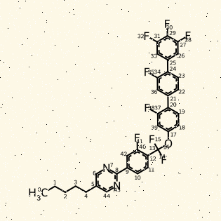 CCCCCc1cnc(-c2ccc(C(F)(F)Oc3ccc(-c4ccc(-c5cc(F)c(F)c(F)c5)c(F)c4)c(F)c3)c(F)c2)nc1